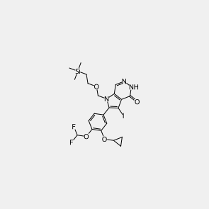 C[Si](C)(C)CCOCn1c(-c2ccc(OC(F)F)c(OC3CC3)c2)c(I)c2c(=O)[nH]ncc21